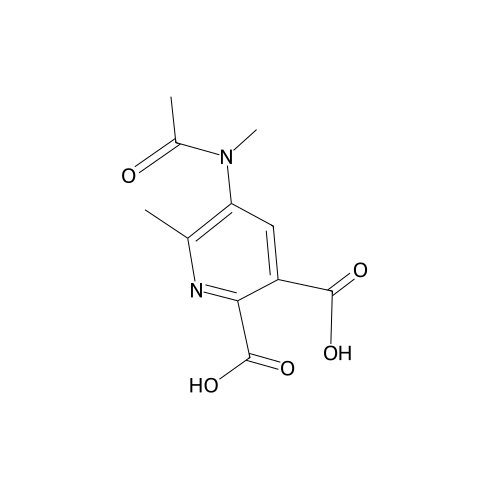 CC(=O)N(C)c1cc(C(=O)O)c(C(=O)O)nc1C